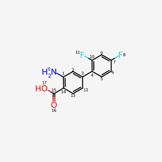 Nc1cc(-c2ccc(F)cc2F)ccc1C(=O)O